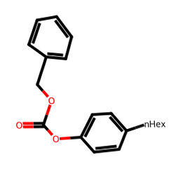 CCCCCCc1ccc(OC(=O)OCc2ccccc2)cc1